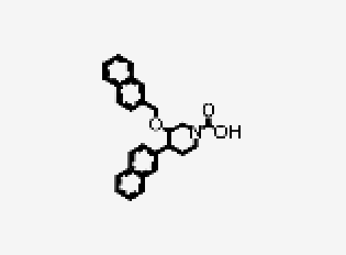 O=C(O)N1CCC(c2ccc3ccccc3c2)C(OCc2ccc3ccccc3c2)C1